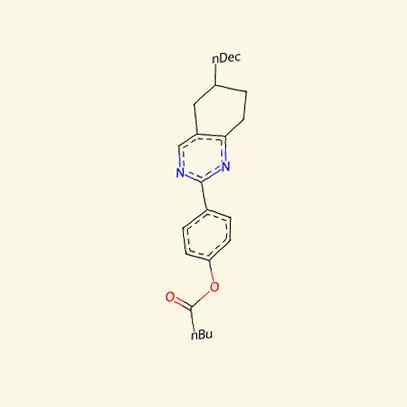 CCCCCCCCCCC1CCc2nc(-c3ccc(OC(=O)CCCC)cc3)ncc2C1